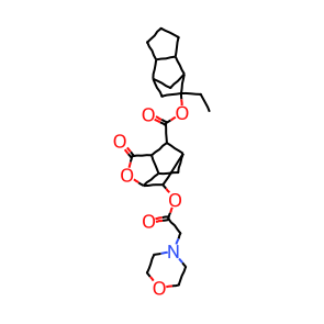 CCC1(OC(=O)C2C3CC4C(OC(=O)C42)C3OC(=O)CN2CCOCC2)CC2CC1C1CCCC21